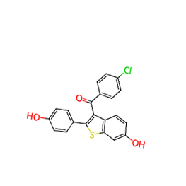 O=C(c1ccc(Cl)cc1)c1c(-c2ccc(O)cc2)sc2cc(O)ccc12